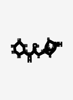 O=C(CN1CC2CC1CN2)NC1CCCCC1